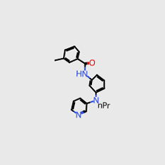 CCCN(c1cccnc1)c1cccc(NC(=O)c2cccc(C)c2)c1